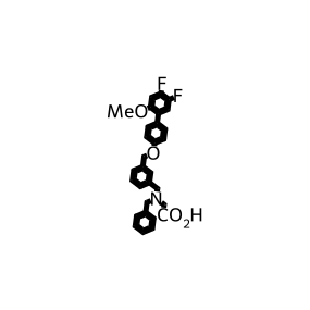 COc1cc(F)c(F)cc1-c1ccc(OCc2cccc(CN(CC(=O)O)Cc3ccccc3)c2)cc1